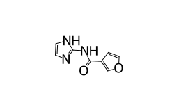 O=C(Nc1ncc[nH]1)c1ccoc1